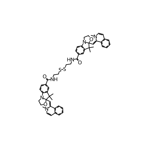 CN1C=Cc2ccccc2/C1=C/C12OCCN1c1ccc(C(=O)NCCSSCCNC(=O)c3ccc4c(c3)C(C)(C)C3(/C=C5/c6ccccc6C=CN5C)OCCN43)cc1C2(C)C